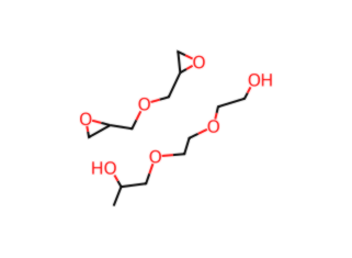 C(OCC1CO1)C1CO1.CC(O)COCCOCCO